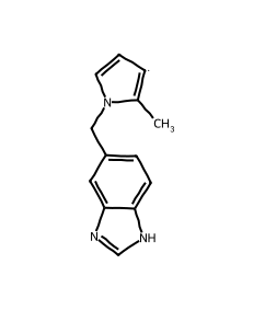 Cc1[c]ccn1Cc1ccc2[nH]cnc2c1